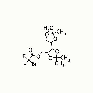 CC1(C)OCC(C2OC(C)(C)OC2COC(=O)C(F)(F)Br)O1